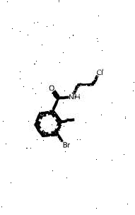 Cc1c(Br)cccc1C(=O)NCCCl